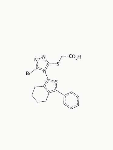 O=C(O)CSc1nnc(Br)n1-c1sc(-c2ccccc2)c2c1CCCC2